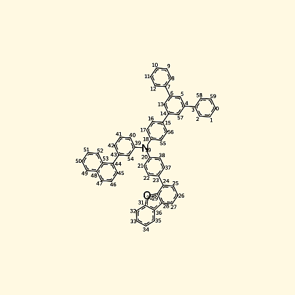 c1ccc(-c2cc(-c3ccccc3)cc(-c3ccc(N(c4ccc(-c5cccc6c5oc5ccccc56)cc4)c4cccc(-c5cccc6ccccc56)c4)cc3)c2)cc1